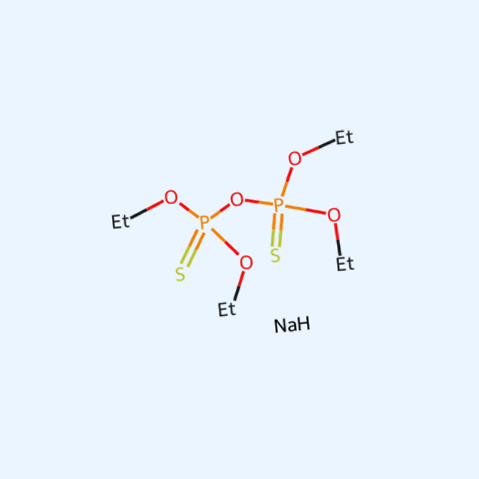 CCOP(=S)(OCC)OP(=S)(OCC)OCC.[NaH]